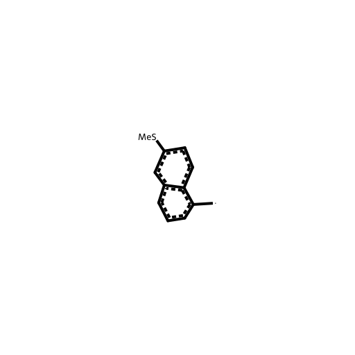 [CH2]c1cccc2cc(SC)ccc12